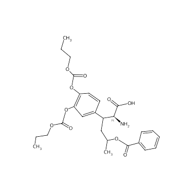 CCCOC(=O)Oc1ccc(C(CC(C)OC(=O)c2ccccc2)[C@H](N)C(=O)O)cc1OC(=O)OCCC